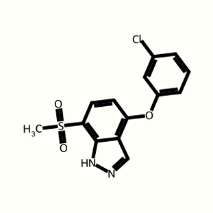 CS(=O)(=O)c1ccc(Oc2cccc(Cl)c2)c2cn[nH]c12